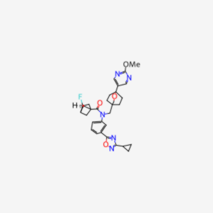 COc1ncc(C23CCC(CN(C(=O)C45CC(C4)[C@@H](F)C5)c4cccc(-c5nc(C6CC6)no5)c4)(CC2)CO3)cn1